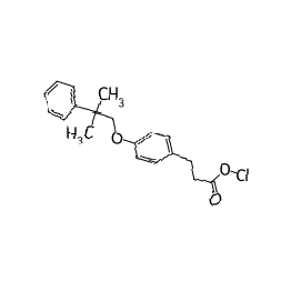 CC(C)(COc1ccc(CCC(=O)OCl)cc1)c1ccccc1